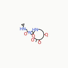 COC1CCCNCC2(CN(C(=O)CNC3CC3)C2)OC(=O)C(C)C(=O)CC1